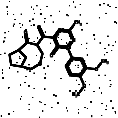 COc1ccc(-n2nc(C)cc(C(=O)C3COCC4CCC(C4)C3=O)c2=O)cc1OC